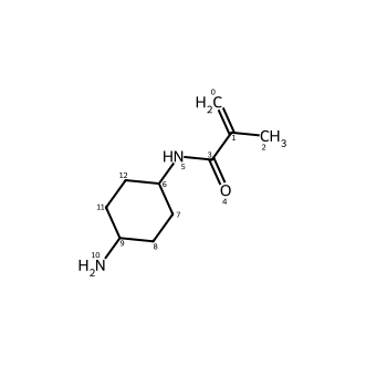 C=C(C)C(=O)NC1CCC(N)CC1